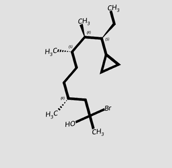 CC[C@@H](C1CC1)[C@H](C)[C@@H](C)CC[C@@H](C)CC(C)(O)Br